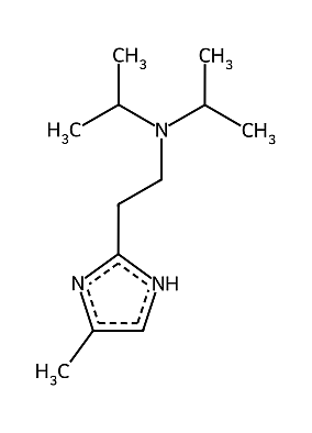 Cc1c[nH]c(CCN(C(C)C)C(C)C)n1